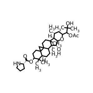 CC(=O)OC(C1C[C@@H](C)[C@H]2C(O1)[C@H](O)[C@@]1(C)C3CC[C@H]4C(C)(C)C(OC(=O)[C@@H]5CCCN5)CCC45CC35CCC21C)C(C)(C)O